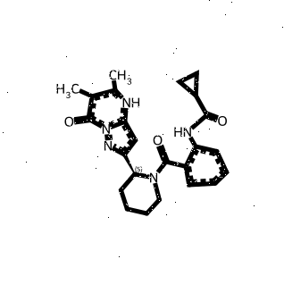 Cc1[nH]c2cc([C@@H]3CCCCN3C(=O)c3ccccc3NC(=O)C3CC3)nn2c(=O)c1C